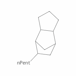 CCCCCC1CC2CC1C1CCCC21